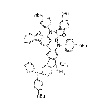 CCCCc1ccc(N2B3c4oc5ccc(CCCC)cc5c4N(c4ccc(CCCC)cc4)c4c3c(cc3c4oc4ccccc43)-c3cc4c(cc32)C(C)(C)c2ccc(N(c3ccccc3)c3ccc(CCCC)cc3)cc2-4)cc1